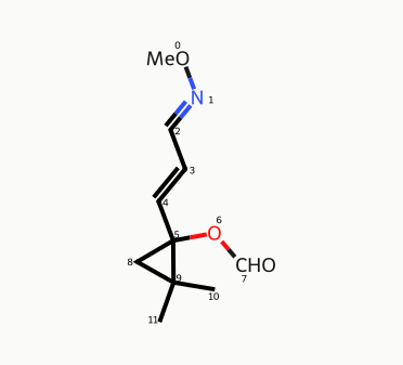 CON=CC=CC1(OC=O)CC1(C)C